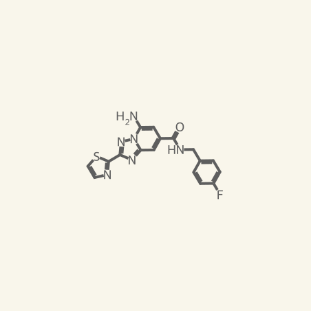 Nc1cc(C(=O)NCc2ccc(F)cc2)cc2nc(-c3nccs3)nn12